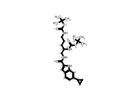 CC(C)(C)OC(=O)NCCCC(CNC(=O)c1cc2ccc(C3CC3)cc2[nH]1)NC(=O)OC(C)(C)C